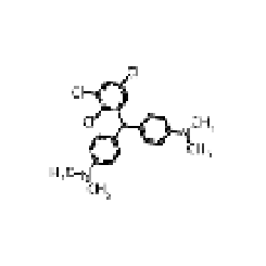 CN(C)c1ccc(C(c2ccc(N(C)C)cc2)c2cc(Cl)cc(Cl)c2Cl)cc1